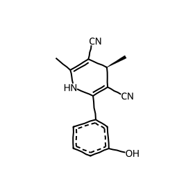 CC1=C(C#N)[C@@H](C)C(C#N)=C(c2cccc(O)c2)N1